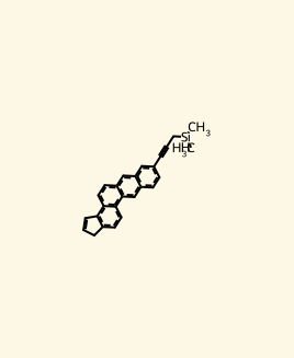 C[SiH](C)CC#Cc1ccc2cc3c(ccc4c5c(ccc43)CC=C5)cc2c1